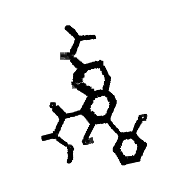 CON(C)C(=O)c1c(O)c(-c2ccccc2Cl)cc2cnc(NC(C)C)nc12